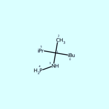 CCC(C)C(C)(NP)C(C)C